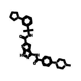 CN1CCN(c2ccc(C(=O)Nc3n[nH]c4sc(C(=O)NC(C)(C)c5cccc(N6CCCC6)c5)cc34)cc2)CC1